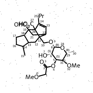 COCC(=O)O[C@H]1[C@H](O)[C@H](OCC23CC4C(C)CCC4C4(C=O)CC2C=C(C(C)C)C43C(=O)O)O[C@H](C)[C@H]1OC